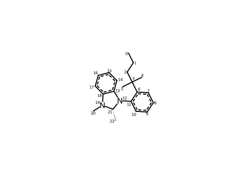 CCCC(C)(C)c1ccccc1N1c2ccccc2N(C)[C@H]1C